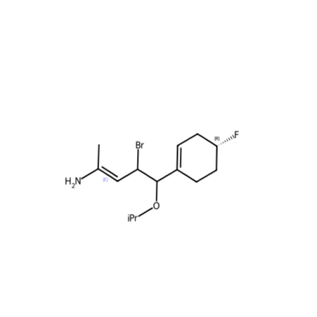 C/C(N)=C\C(Br)C(OC(C)C)C1=CC[C@H](F)CC1